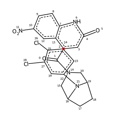 O=C(c1cc(=O)[nH]c2ccc([N+](=O)[O-])cc12)N1CC2CCC(C1)N2c1ccc(Cl)c(Cl)c1